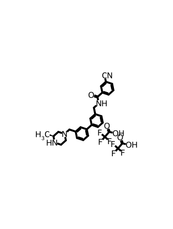 C[C@H]1CN(Cc2cccc(-c3cccc(CNC(=O)c4cccc(C#N)c4)c3)c2)CCN1.O=C(O)C(F)(F)F.O=C(O)C(F)(F)F